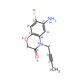 CC#CCN1C(=O)COc2cc(F)c(N)cc21